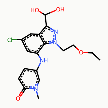 CCOCCn1nc(C(O)O)c2cc(Cl)cc(Nc3ccc(=O)n(C)c3)c21